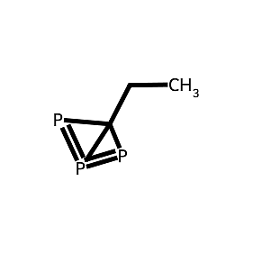 CCC12P=P1=P2